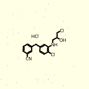 Cl.N#Cc1cccc(Cc2ccc(Cl)c(NCC(O)CCl)c2)c1